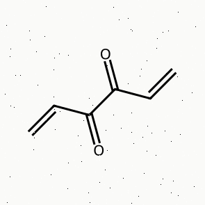 C=CC(=O)C(=O)C=C